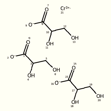 O=C([O-])C(O)CO.O=C([O-])C(O)CO.O=C([O-])C(O)CO.[Cr+3]